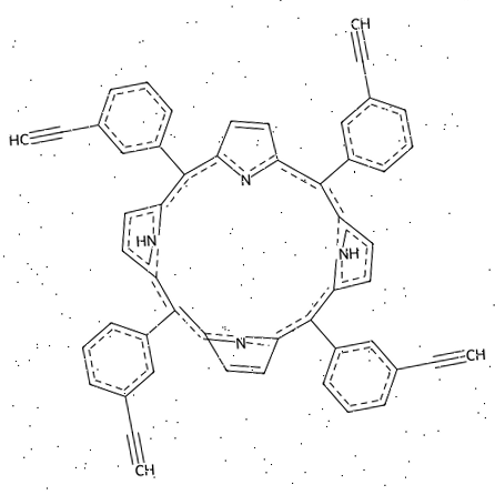 C#Cc1cccc(-c2c3nc(c(-c4cccc(C#C)c4)c4ccc([nH]4)c(-c4cccc(C#C)c4)c4nc(c(-c5cccc(C#C)c5)c5ccc2[nH]5)C=C4)C=C3)c1